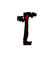 C=C(OCCOCCOCCOCCOCCOCCOCCOCCOCCOCCOCCOCCOCCOCCOCCOCCOCCOCCOCCOCCOCCCCCCCCCCCCCCCCCC)C(C)(C)CC(CC(C)(CC(C)(CC)C(=O)OCCOC(=O)C1CCCCC1C(=O)O)C(=O)O)C(=O)OCC